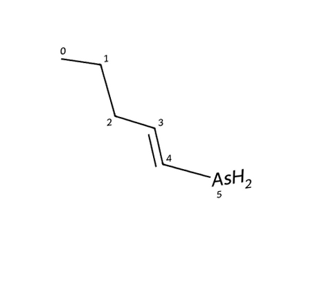 CCCC=C[AsH2]